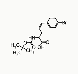 CC(C)(C)OC(=O)N[C@@H](C/C=C\c1ccc(Br)cc1)C(=O)O